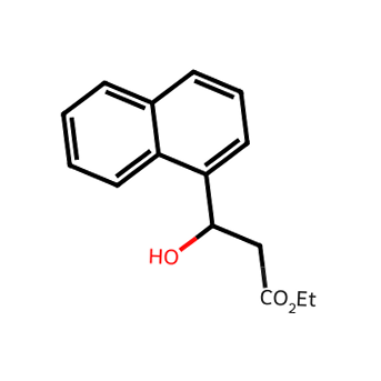 CCOC(=O)CC(O)c1cccc2ccccc12